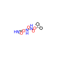 O=C(CNC(=O)OCC1c2ccccc2-c2ccccc21)NCOC[C@@H]1CNCCO1